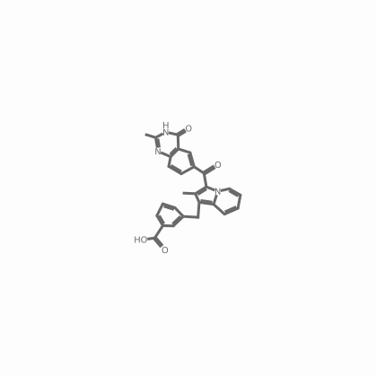 Cc1nc2ccc(C(=O)c3c(C)c(Cc4cccc(C(=O)O)c4)c4ccccn34)cc2c(=O)[nH]1